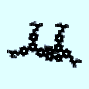 CCCCCCC1(CC(CCCC)c2cc(-c3ccc(OCC(CC)CCCC)cc3)cc(-c3ccc(OCC(CC)CCCC)cc3)c2)c2cc(-c3cc(-c4ccc(OCC(CC)CCCC)cc4)cc(-c4ccc(OCC(CC)CCCC)cc4)c3)ccc2-c2ccc(-c3cccs3)cc21